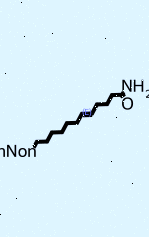 CCCCCCCCCCCCCCC/C=C/CCCC(N)=O